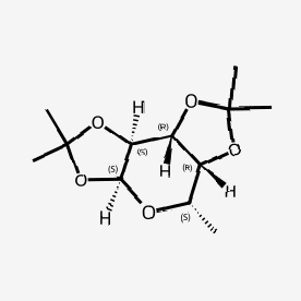 C[C@@H]1O[C@H]2OC(C)(C)O[C@H]2[C@@H]2OC(C)(C)O[C@@H]21